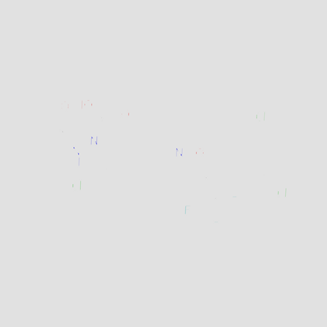 C=CC(=O)NN(C(=O)O)c1cc(C2=NOC(c3cc(Cl)cc(Cl)c3)(C(F)(F)F)C2)ccc1Cl